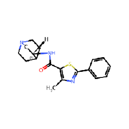 Cc1nc(-c2ccccc2)sc1C(=O)N[C@H]1CN2CCC1CC2